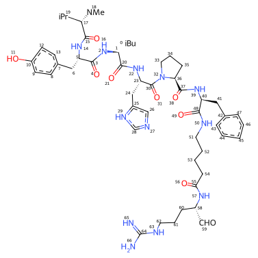 CC[C@H](C)[C@H](NC(=O)[C@H](Cc1ccc(O)cc1)NC(=O)[C@@H](NC)C(C)C)C(=O)N[C@@H](Cc1cnc[nH]1)C(=O)N1CCC[C@H]1C(=O)N[C@@H](Cc1ccccc1)C(=O)NCCCCC(=O)N[C@H](C=O)CCCNC(=N)N